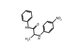 CC(Nc1ccc([N+](=O)[O-])cc1)C(=O)Nc1ccccc1